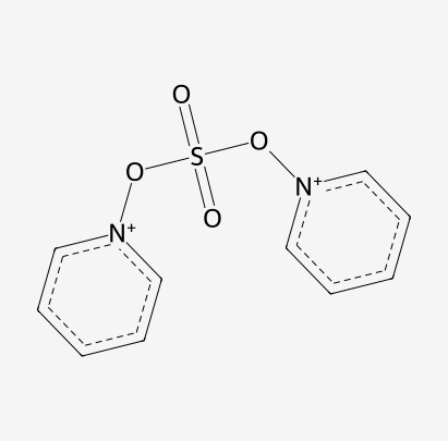 O=S(=O)(O[n+]1ccccc1)O[n+]1ccccc1